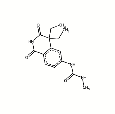 CCC1(CC)C(=O)NC(=O)c2ccc(NC(=O)NC)cc21